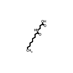 CCCCCCCCC(=O)NCCC(=O)O